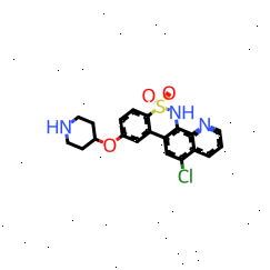 O=S1(=O)Nc2c(cc(Cl)c3cccnc23)-c2cc(OC3CCNCC3)ccc21